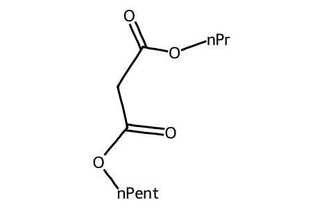 CCCCCOC(=O)CC(=O)OCCC